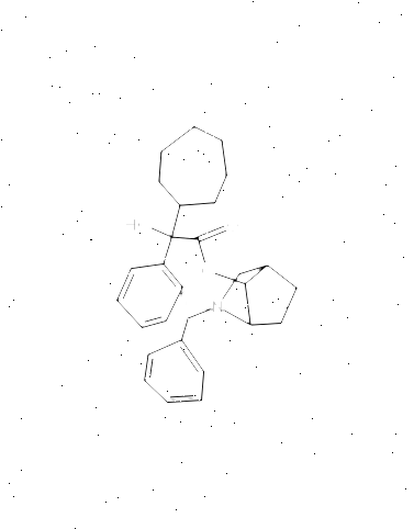 C[C@@H](c1ccccc1)N1CC2CCC1C2OC(=O)C(O)(c1ccccc1)C1CCCCCC1